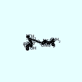 COc1cc2c(Oc3ccc(N(C(=O)C4(C(N)=O)CC4)c4ccc(F)cc4)cc3F)ccnc2cc1OCCOCCOCCOc1cc(-c2scnc2C)ccc1CNC(=O)[C@@H]1C[C@@H](O)CN1C(=O)[C@H](C(C)C)N1Cc2ccccc2C1=O